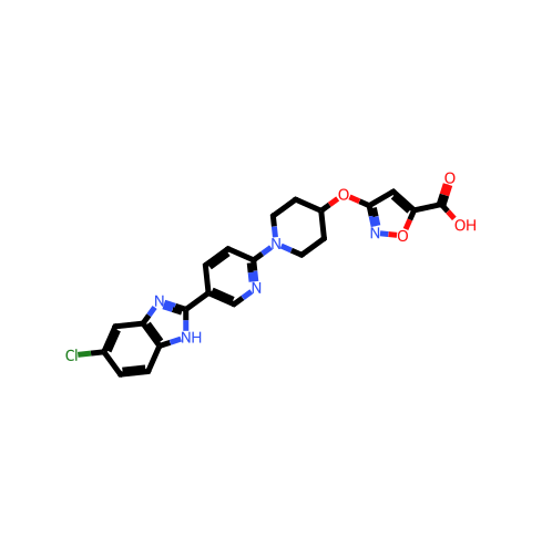 O=C(O)c1cc(OC2CCN(c3ccc(-c4nc5cc(Cl)ccc5[nH]4)cn3)CC2)no1